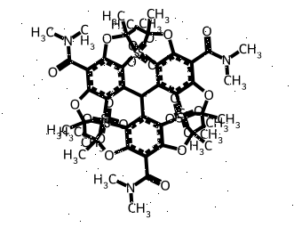 CN(C)C(=O)c1c2c(c([C](c3c4c(c(C(=O)N(C)C)c5c3S(=O)(=O)C(C)(C)O5)OC(C)(C)S4(=O)=O)c3c4c(c(C(=O)N(C)C)c5c3S(=O)(=O)C(C)(C)O5)OC(C)(C)S4(=O)=O)c3c1OC(C)(C)S3(=O)=O)S(=O)(=O)C(C)(C)O2